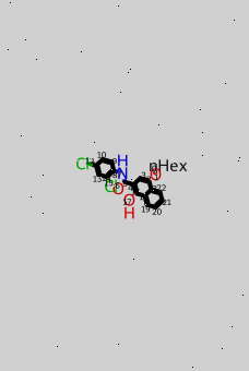 CCCCCCOc1cc(C(=O)Nc2ccc(Cl)cc2Cl)c(O)c2ccccc12